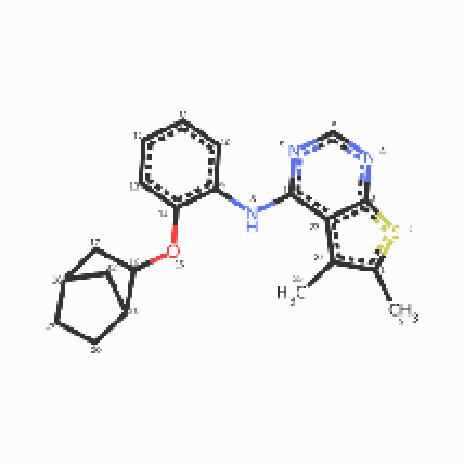 Cc1sc2ncnc(Nc3ccccc3OC3CC4CCC3C4)c2c1C